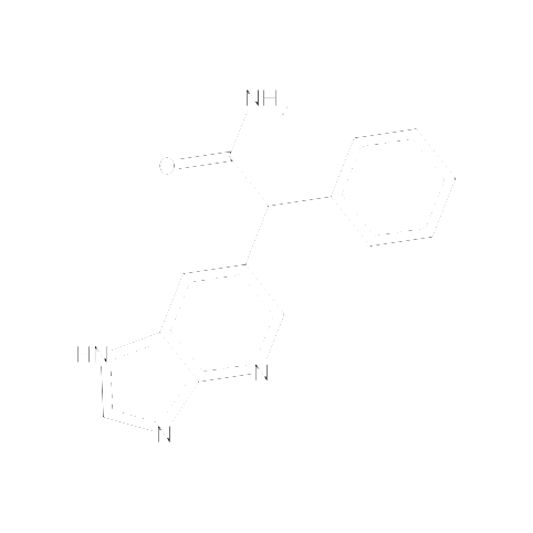 NC(=O)C(c1ccccc1)c1cnc2nc[nH]c2c1